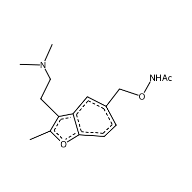 CC(=O)NOCc1ccc2oc(C)c(CCN(C)C)c2c1